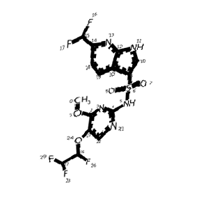 COc1nc(NS(=O)(=O)c2c[nH]c3nc(C(F)F)ccc23)ncc1OC(F)C(F)F